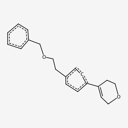 C1=C(c2ccc(CCOCc3ccccc3)cc2)CCOC1